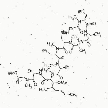 C/C=C/C[C@@H](C)[C@@H](OC)[C@@H](C(=O)N[C@@H](CC)C(=O)N(C)CC(=O)OC)N(C)C(=O)[C@H](C(C)C)N(C)C(=O)[C@H](CC(C)C)N(C)C(=O)[C@H](CC(C)C)N(C)C(=O)[C@@H](C)NC(=O)[C@H](C)NC(=O)[C@H](CC(C)C)N(C)C(=O)OC(C)(C)C